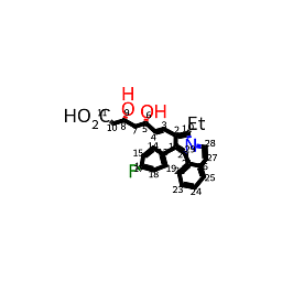 CCc1c(C=CC(O)CC(O)CC(=O)O)c(-c2ccc(F)cc2)c2c3ccccc3ccn12